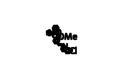 COC(COc1ccccc1C(=O)N1CCCC1)c1cccc(/C=C/c2ccc3ccc(Cl)cc3n2)c1